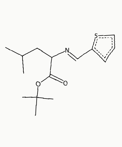 CC(C)CC(N=Cc1cccs1)C(=O)OC(C)(C)C